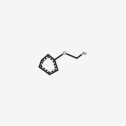 CC(=O)COc1ccccc1